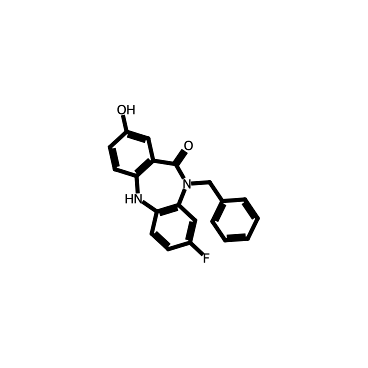 O=C1c2cc(O)ccc2Nc2ccc(F)cc2N1Cc1ccccc1